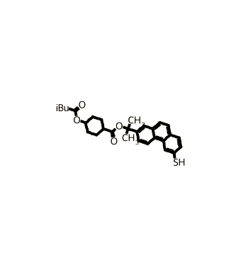 CCC(C)C(=O)OC1CCC(C(=O)OC(C)(C)c2ccc3c(ccc4ccc(S)cc43)c2)CC1